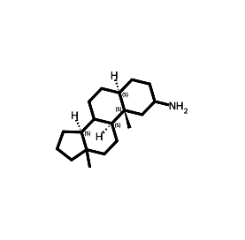 CC12CCC[C@H]1C1CC[C@H]3CCC(N)C[C@]3(C)[C@H]1CC2